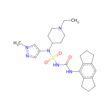 CCN1CCC(N(c2cnn(C)c2)S(=O)(=O)NC(=O)Nc2c3c(cc4c2CCC4)CCC3)CC1